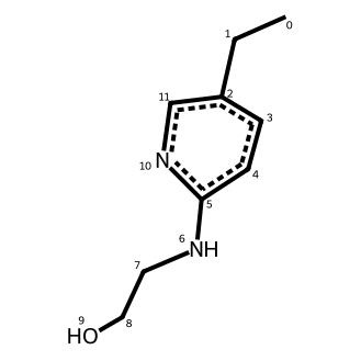 CCc1ccc(NCCO)nc1